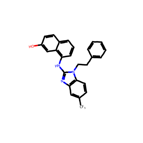 Oc1ccc2cccc(Nc3nc4cc(C(F)(F)F)ccc4n3CCc3ccccc3)c2c1